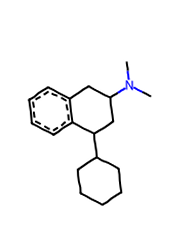 CN(C)C1Cc2ccccc2C(C2CCCCC2)C1